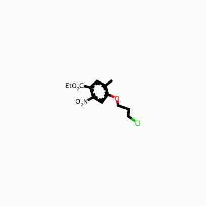 CCOC(=O)c1cc(C)c(OCCCCl)cc1[N+](=O)[O-]